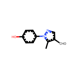 Cc1c(C=O)cnn1-c1ccc(O)cc1